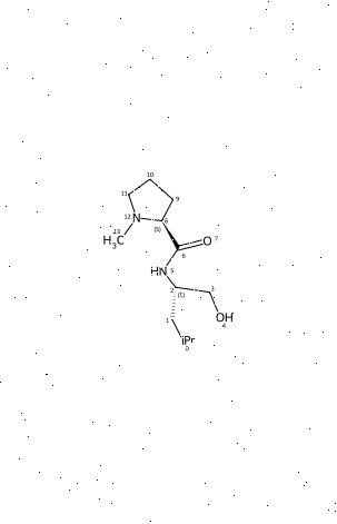 CC(C)C[C@@H](CO)NC(=O)[C@@H]1CCCN1C